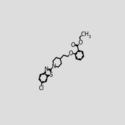 CCOC(=O)c1ccccc1OCCC1CCN(c2nc3ccc(Cl)cc3s2)CC1